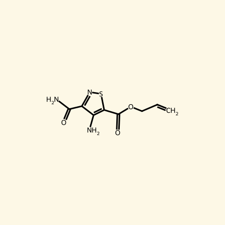 C=CCOC(=O)c1snc(C(N)=O)c1N